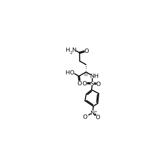 NC(=O)CC[C@H](NS(=O)(=O)c1ccc([N+](=O)[O-])cc1)C(=O)O